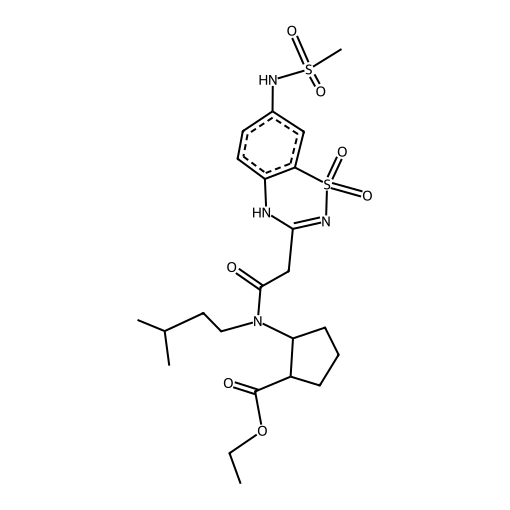 CCOC(=O)C1CCCC1N(CCC(C)C)C(=O)CC1=NS(=O)(=O)c2cc(NS(C)(=O)=O)ccc2N1